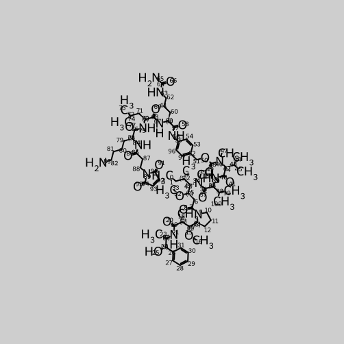 CC[C@H](C)[C@@H]([C@@H](CC(=O)N1CCC[C@H]1[C@H](OC)[C@@H](C)C(=O)N[C@H](C)[C@@H](O)c1ccccc1)OC)N(C)C(=O)[C@@H](NC(=O)[C@H](C(C)C)N(C)C(=O)OCc1ccc(NC(=O)[C@H](CCCNC(N)=O)NC(=O)[C@H](CC(C)C)NC(=O)[C@H](CCCCN)NC(=O)CCN2C(=O)C=CC2=O)cc1)C(C)C